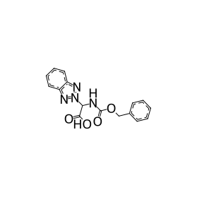 O=C(NC(C(=O)O)n1nc2ccccc2n1)OCc1ccccc1